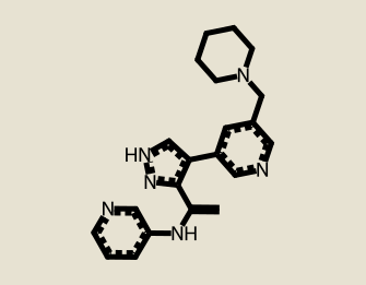 C=C(Nc1cccnc1)c1n[nH]cc1-c1cncc(CN2CCCCC2)c1